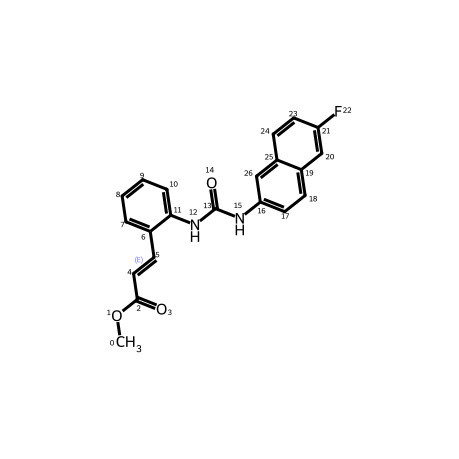 COC(=O)/C=C/c1ccccc1NC(=O)Nc1ccc2cc(F)ccc2c1